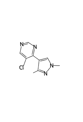 Cc1nn(C)cc1-c1ncncc1Cl